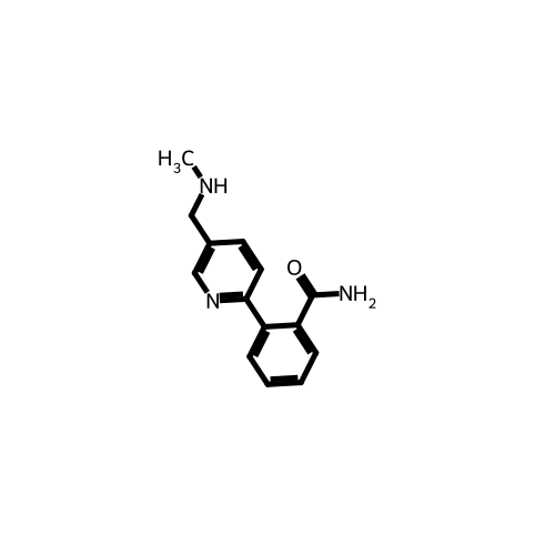 CNCc1ccc(-c2ccccc2C(N)=O)nc1